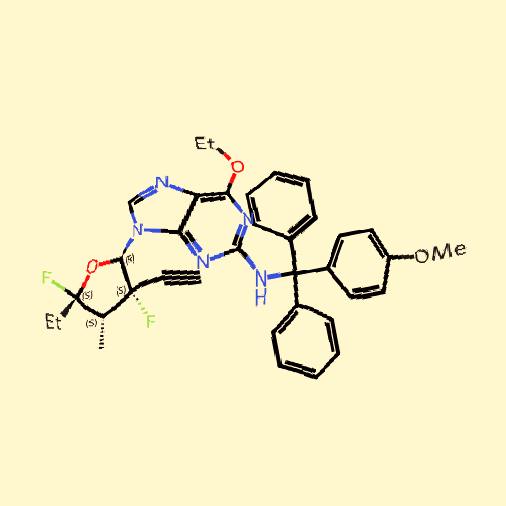 C#C[C@]1(F)[C@H](n2cnc3c(OCC)nc(NC(c4ccccc4)(c4ccccc4)c4ccc(OC)cc4)nc32)O[C@](F)(CC)[C@H]1C